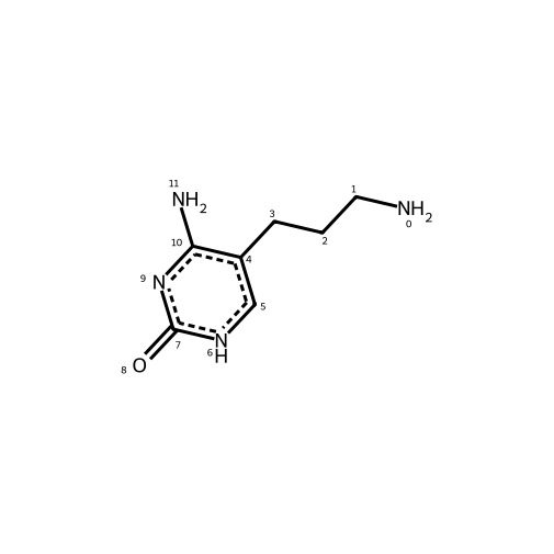 NCCCc1c[nH]c(=O)nc1N